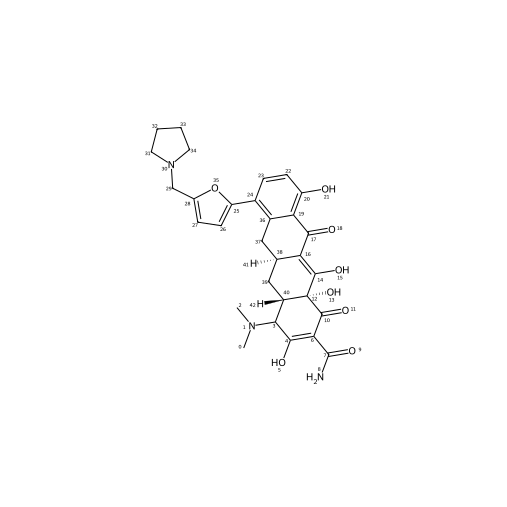 CN(C)C1C(O)=C(C(N)=O)C(=O)[C@]2(O)C(O)=C3C(=O)c4c(O)ccc(-c5ccc(CN6CCCC6)o5)c4C[C@@H]3C[C@@H]12